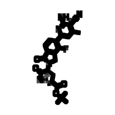 Cc1cc(-c2ccc3c(c2F)CN([C@@H](CCC(=O)OC(C)(C)C)C(N)=O)C3=O)nc(N)c1C#N